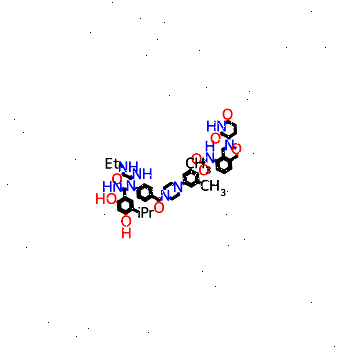 CCNC(=O)C(=N)N(C(=N)c1cc(C(C)C)c(O)cc1O)c1ccc(C(=O)N2CCN(c3cc(C)c(OC(=O)Nc4cccc5c4CN(C4CCC(=O)NC4=O)OC5)c(C)c3)CC2)cc1